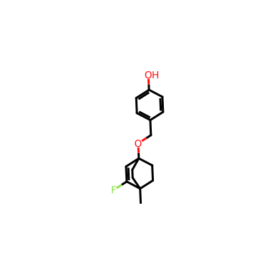 CC12CCC(OCc3ccc(O)cc3)(C=C1F)CC2